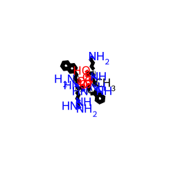 C[C@H](NC(=O)[C@H](Cc1c[nH]c2ccccc12)NC(=O)[C@H](CCCNC(=N)N)NC(=O)[C@@H](N)Cc1ccc2ccccc2c1)C(=O)N[C@@H](CCCCN)C(=O)O